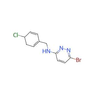 ClC1C=CC(CNc2ccc(Br)nn2)=CC1